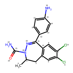 CC1Cc2cc(Cl)c(Cl)cc2C(c2ccc(N)cc2)=NN1C(N)=O